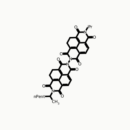 CCCCCC(C)N1C(=O)C2=c3c(ccc4c3=C(CC2)C(=O)N(N2C(=O)C3=c5c(ccc6c5=C(CC3)C(=O)N(C(C)C)C6=O)C2=O)C4=O)C1=O